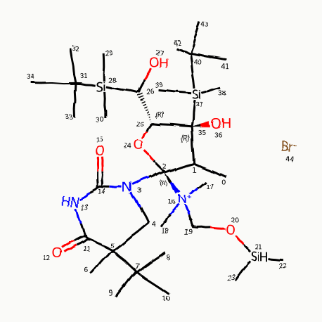 CC1[C@@](N2CC(C)(C(C)(C)C)C(=O)NC2=O)([N+](C)(C)CO[SiH](C)C)O[C@H](C(O)[Si](C)(C)C(C)(C)C)[C@]1(O)[Si](C)(C)C(C)(C)C.[Br-]